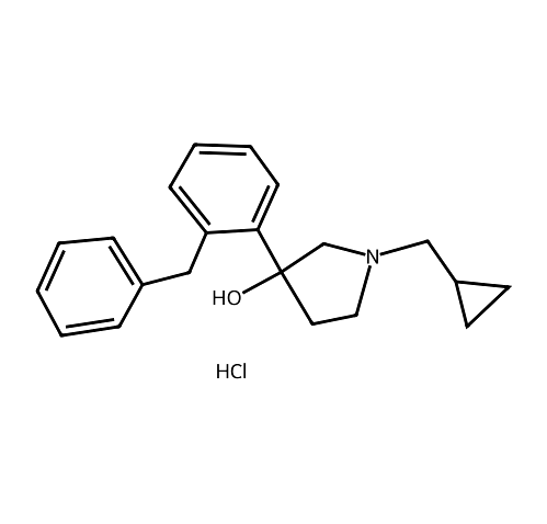 Cl.OC1(c2ccccc2Cc2ccccc2)CCN(CC2CC2)C1